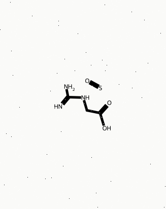 N=C(N)NCC(=O)O.O=S